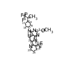 COCc1nc(Nc2ccc(C(C)C(F)(F)F)cc2)c2ccc(-c3ncccc3C(F)(F)F)nc2n1